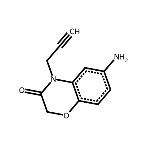 C#CCN1C(=O)COc2ccc(N)cc21